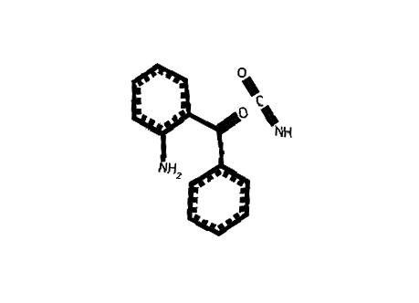 N=C=O.Nc1ccccc1C(=O)c1ccccc1